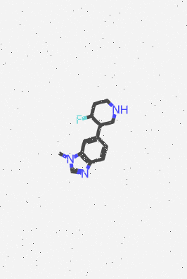 Cn1cnc2ccc(C3CNCCC3F)cc21